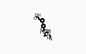 CC(C)CC(NC(c1ccc(-c2cccc(C=CC(=O)O)c2)cc1)C(F)(F)F)C(=O)NCC#N